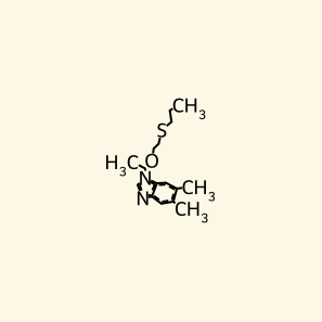 CCCSCCOC(C)n1cnc2cc(C)c(C)cc21